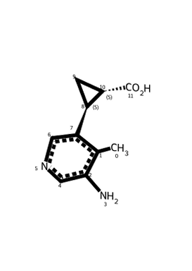 Cc1c(N)cncc1[C@H]1C[C@@H]1C(=O)O